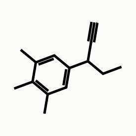 [C]#CC(CC)c1cc(C)c(C)c(C)c1